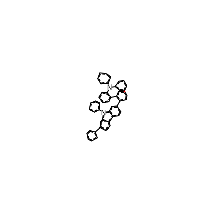 c1ccc(-c2ccc3c4ccc(-c5ccccc5-c5ccccc5N(c5ccccc5)c5ccccc5)cc4n(-c4ccccc4)c3c2)cc1